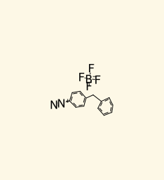 F[B-](F)(F)F.N#[N+]c1ccc(Cc2ccccc2)cc1